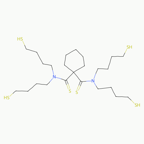 S=C(N(CCCCS)CCCCS)C1(C(=S)N(CCCCS)CCCCS)CCCCC1